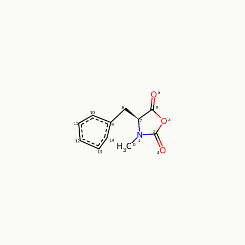 CN1C(=O)OC(=O)[C@@H]1Cc1ccccc1